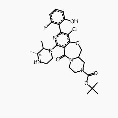 CC1[C@@H](C)NCCN1c1nc(-c2c(O)cccc2F)c(Cl)c2c1C(=O)N1CCN(C(=O)OC(C)(C)C)CC1CO2